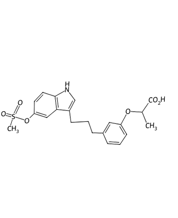 CC(Oc1cccc(CCCc2c[nH]c3ccc(OS(C)(=O)=O)cc23)c1)C(=O)O